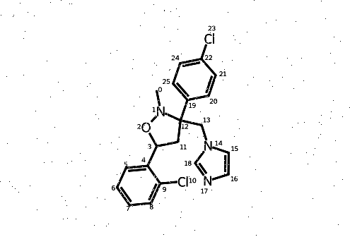 CN1OC(c2ccccc2Cl)CC1(Cn1ccnc1)c1ccc(Cl)cc1